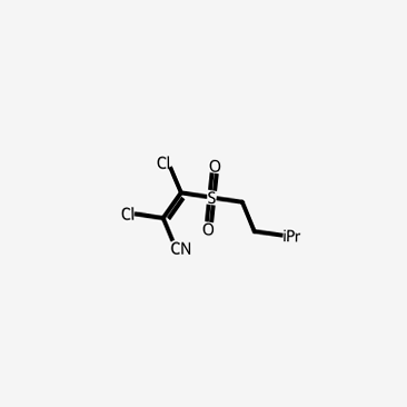 CC(C)CCS(=O)(=O)/C(Cl)=C(/Cl)C#N